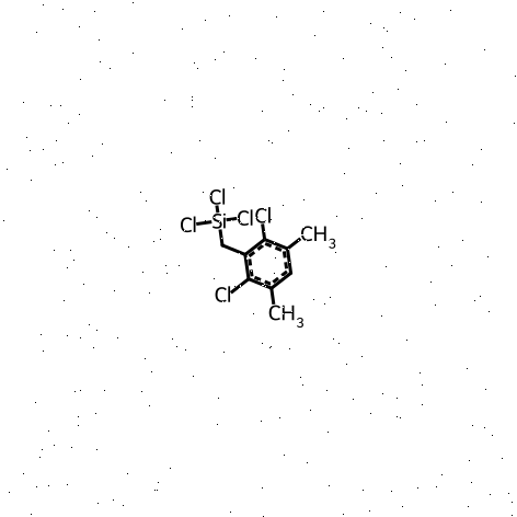 Cc1cc(C)c(Cl)c(C[Si](Cl)(Cl)Cl)c1Cl